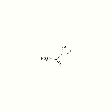 C=C(C(=O)O)C(=O)O.O